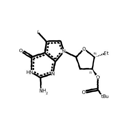 CC[C@H]1OC(n2cc(I)c3c(=O)[nH]c(N)nc32)C[C@@H]1OC(=O)C(C)(C)C